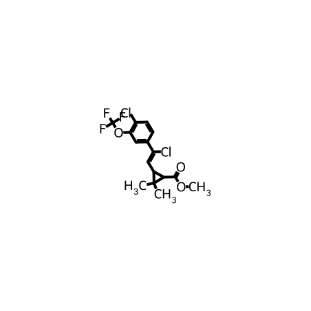 COC(=O)C1C(C=C(Cl)c2ccc(Cl)c(OC(F)(F)F)c2)C1(C)C